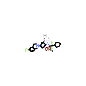 Cc1cc(N2CCc3cc(F)ccc3C2)cc(C)c1NC(=O)C(F)(F)C1CCCCC1